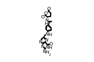 C=C(N[C@H]1CCC(=O)OC1=O)c1ccc(NCc2cnc3nc(N)[nH]c(=O)c3n2)cc1